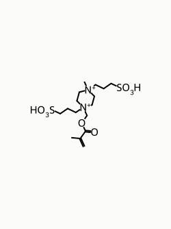 C=C(C)C(=O)OC[N+]1(CCCS(=O)(=O)O)CC[N+](C)(CCCS(=O)(=O)O)CC1